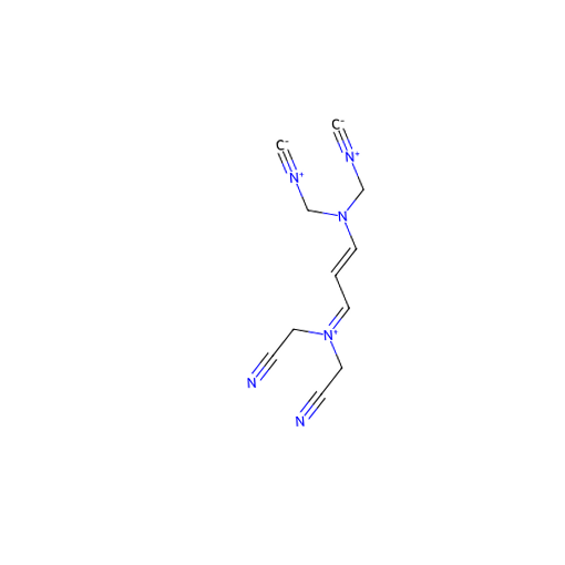 [C-]#[N+]CN(/C=C/C=[N+](CC#N)CC#N)C[N+]#[C-]